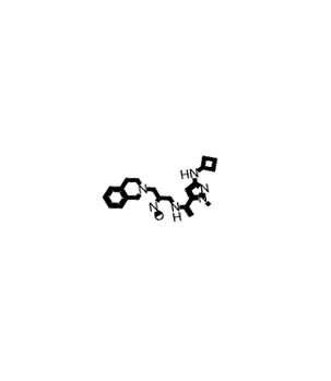 C=C(NCC(CN1CCc2ccccc2C1)N=O)c1cc(NC2CCC2)nn1C